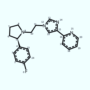 Fc1ccc([C@H]2CCCN2CCn2cnc(-c3ccccn3)c2)cc1